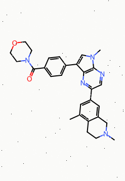 Cc1cc(-c2cnc3c(n2)c(-c2ccc(C(=O)N4CCOCC4)cc2)cn3C)cc2c1CCN(C)C2